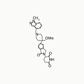 COCC1(c2ccc3c(c2)CN(C2CCC(=O)NC2=O)C3=O)CCN(Cc2cccc3c2cnn3C)CC1